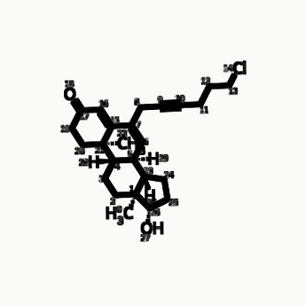 C[C@]12CC[C@H]3[C@@H](C=C(CC#CCCCCl)C4=CC(=O)CC[C@@]43C)[C@@H]1CC[C@@H]2O